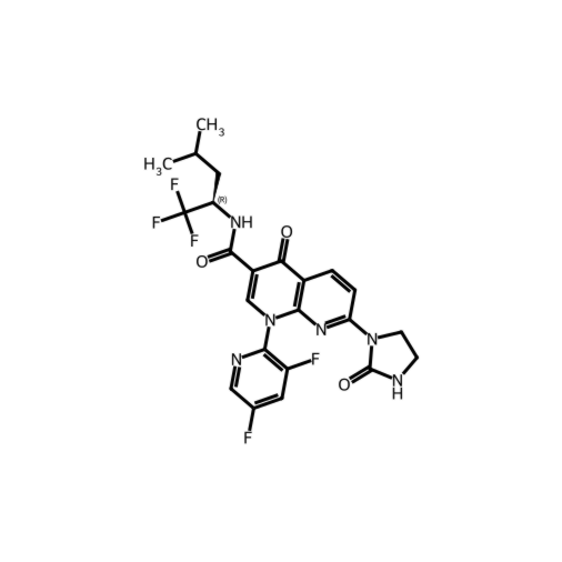 CC(C)C[C@@H](NC(=O)c1cn(-c2ncc(F)cc2F)c2nc(N3CCNC3=O)ccc2c1=O)C(F)(F)F